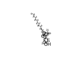 CCCCCCCCCCCCCOC(=O)C(CC(C)(C)C)c1ccc(O)c(C)c1